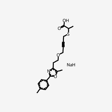 Cc1ccc(-c2nc(CCOCC#CCSC(C)C(=O)O)c(C)o2)cc1.[NaH]